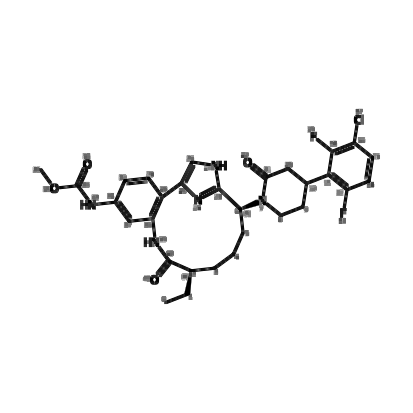 CC[C@@H]1CCC[C@H](N2CCC(c3c(F)ccc(Cl)c3F)CC2=O)c2nc(c[nH]2)-c2ccc(NC(=O)OC)cc2NC1=O